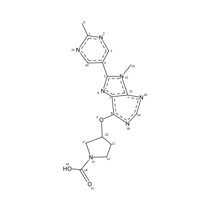 Cc1ncc(-c2nc3c(OC4CCN(C(=O)O)C4)ncnc3n2C)cn1